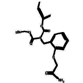 C/C=C(\C)OC(=O)N(Cc1ccccc1OCC(N)=O)C(=O)OC(C)(C)C